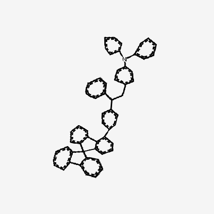 c1ccc(C(Cc2ccc(N(c3ccccc3)c3ccccc3)cc2)c2ccc(-c3cccc4c3-c3ccccc3C43c4ccccc4-c4ccccc43)cc2)cc1